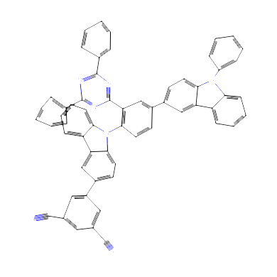 N#Cc1cc(C#N)cc(-c2ccc3c(c2)c2ccccc2n3-c2ccc(-c3ccc4c(c3)c3ccccc3n4-c3ccccc3)cc2-c2nc(-c3ccccc3)nc(-c3ccccc3)n2)c1